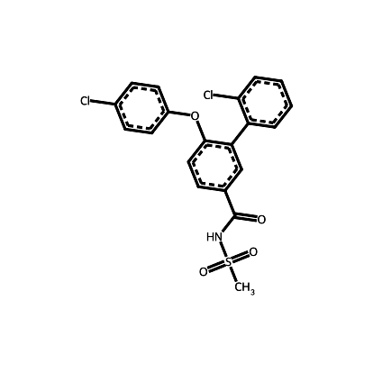 CS(=O)(=O)NC(=O)c1ccc(Oc2ccc(Cl)cc2)c(-c2ccccc2Cl)c1